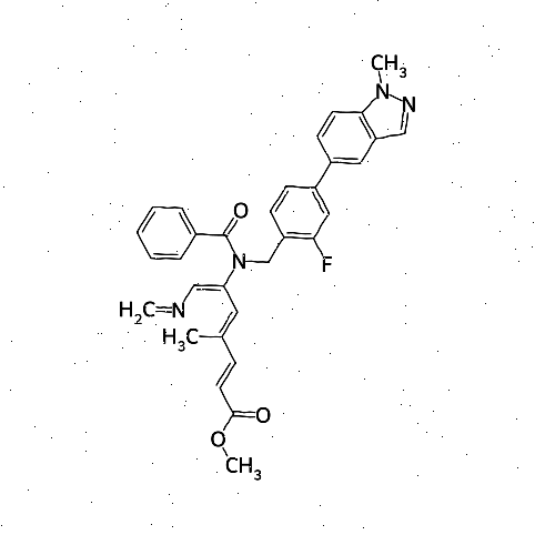 C=N\C=C(/C=C(C)/C=C/C(=O)OC)N(Cc1ccc(-c2ccc3c(cnn3C)c2)cc1F)C(=O)c1ccccc1